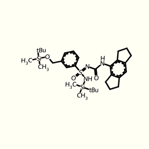 CC(C)(C)[Si](C)(C)NS(=O)(=NC(=O)Nc1c2c(cc3c1CCC3)CCC2)c1cccc(CO[Si](C)(C)C(C)(C)C)c1